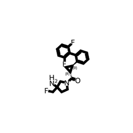 NC1(CF)CCN(C(=O)[C@@H]2C[C@H]2c2ccccc2-c2c(F)cccc2F)C1